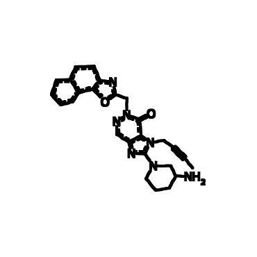 CC#CCn1c(N2CCCC(N)C2)nc2cnn(Cc3nc4ccc5ccccc5c4o3)c(=O)c21